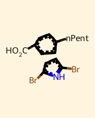 Brc1ccc(Br)[nH]1.CCCCCc1ccc(C(=O)O)cc1